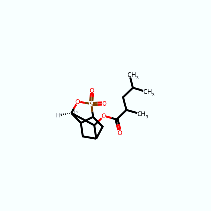 CC(C)CC(C)C(=O)OC1C2CC3C(C2)S(=O)(=O)O[C@H]31